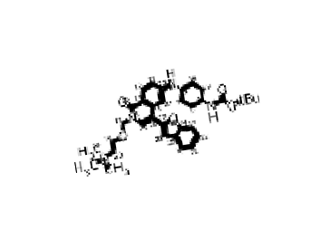 CC(C)(C)OC(=O)N[C@H]1CC[C@H](Nc2ccc3c(=O)n(COCCS(C)(C)C)cc(-c4cc5ccccc5o4)c3c2)CC1